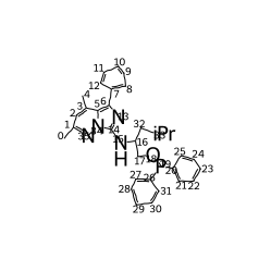 Cc1cc(C)c2c(-c3ccccc3)nc(NC(COP(c3ccccc3)c3ccccc3)CC(C)C)n2n1